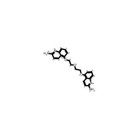 Nc1ccc2c(OCCOCCOc3cccc4nc(N)ccc34)cccc2n1